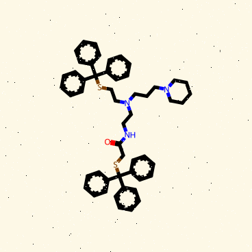 O=C(CSC(c1ccccc1)(c1ccccc1)c1ccccc1)NCCN(CCCN1CCCCC1)CCSC(c1ccccc1)(c1ccccc1)c1ccccc1